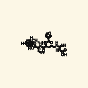 CC(C)C[C@H](NC(=O)[C@H](CCCNC(=N)N[N+](=O)O)NC(=O)c1ccoc1)B1O[C@@H]2C[C@@H]3C[C@@H](C3(C)C)[C@]2(C)O1